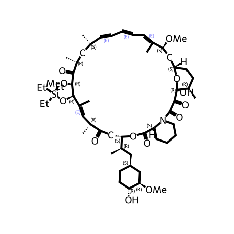 CC[Si](CC)(CC)O[C@@H]1/C(C)=C/[C@@H](C)C(=O)C[C@@H]([C@H](C)C[C@@H]2CC[C@@H](O)[C@H](OC)C2)OC(=O)[C@@H]2CCCCN2C(=O)C(=O)[C@]2(O)O[C@@H](CC[C@H]2C)C[C@H](OC)/C(C)=C/C=C/C=C/[C@@H](C)C[C@@H](C)C(=O)[C@@H]1OC